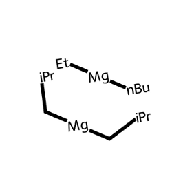 CC(C)[CH2][Mg][CH2]C(C)C.CCC[CH2][Mg][CH2]C